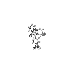 Cl.O=C(O)C(c1ccc([N+](=O)[O-])cc1)[C@@H]1CCCC[C@H]1N1CCOCC1